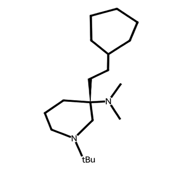 CN(C)[C@@]1(CCC2CCCCC2)CCCN(C(C)(C)C)C1